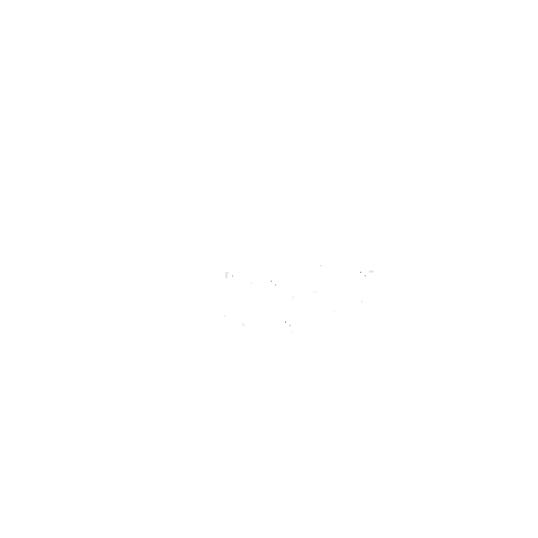 CCOC(=O)C(=CNc1nc(-c2ccncc2)ncc1CC)C(=O)OCC